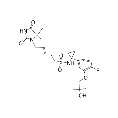 CC(C)(O)COc1cc(C2(NS(=O)(=O)CC/C=C/CN3C(=O)NC(=O)C3(C)C)CC2)ccc1F